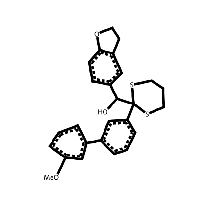 COc1cccc(-c2cccc(C3(C(O)c4ccc5c(c4)CCO5)SCCCS3)c2)c1